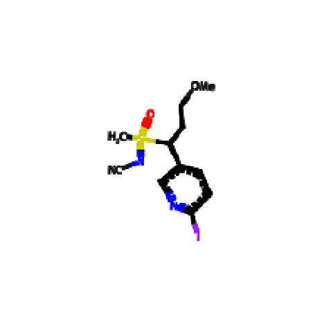 COCCC(c1ccc(I)nc1)S(C)(=O)=NC#N